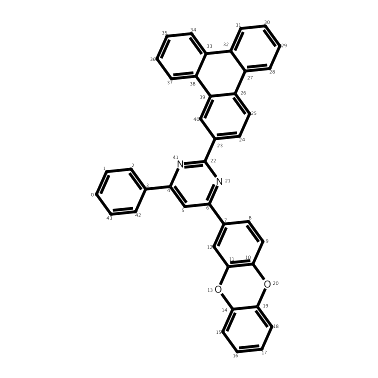 c1ccc(-c2cc(-c3ccc4c(c3)Oc3ccccc3O4)nc(-c3ccc4c5ccccc5c5ccccc5c4c3)n2)cc1